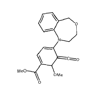 COC(=O)C1=CC=C(N2CCOCc3ccccc32)C(=C=O)C1OC